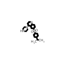 CC(C)c1ccc(S(=O)(=O)c2ccc3nccc(N4CCNCC4)c3c2)cc1